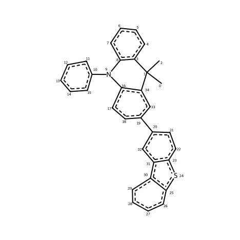 CC1(C)c2ccccc2N(c2ccccc2)c2ccc(-c3ccc4sc5ccccc5c4c3)cc21